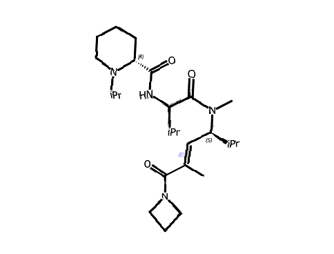 C/C(=C\[C@H](C(C)C)N(C)C(=O)C(NC(=O)[C@H]1CCCCN1C(C)C)C(C)C)C(=O)N1CCC1